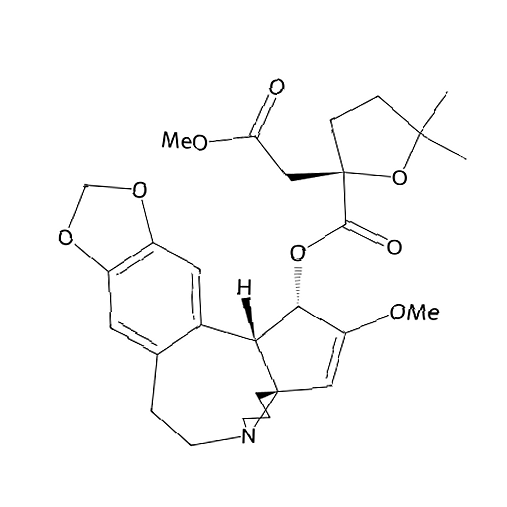 COC(=O)C[C@@]1(C(=O)O[C@@H]2C(OC)=C[C@]34CCCN3CCc3cc5c(cc3[C@H]24)OCO5)CCC(C)(C)O1